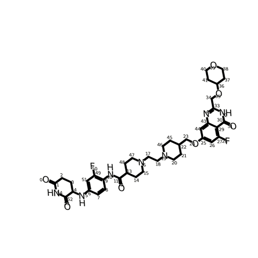 O=C1CCC(Nc2ccc(NC(=O)C3CCN(CCN4CCC(COc5cc(F)c6c(=O)[nH]c(COC7CCOCC7)nc6c5)CC4)CC3)c(F)c2)C(=O)N1